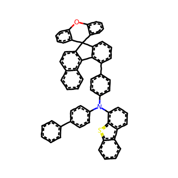 c1ccc(-c2ccc(N(c3ccc(-c4cccc5c4-c4c(ccc6ccccc46)C54c5ccccc5Oc5ccccc54)cc3)c3cccc4c3sc3ccccc34)cc2)cc1